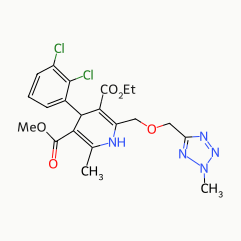 CCOC(=O)C1=C(COCc2nnn(C)n2)NC(C)=C(C(=O)OC)C1c1cccc(Cl)c1Cl